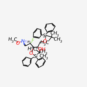 CO/N=C/[C@@H](F)[C@H](O[Si](c1ccccc1)(c1ccccc1)C(C)(C)C)[C@H](O)CO[Si](c1ccccc1)(c1ccccc1)C(C)(C)C